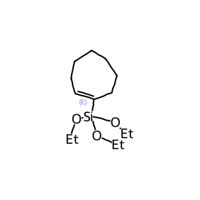 CCO[Si](OCC)(OCC)/C1=C/CCCCCC1